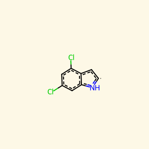 Clc1cc(Cl)c2c[c][nH]c2c1